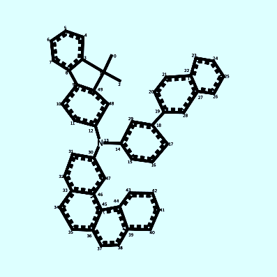 CC1(C)c2ccccc2-c2ccc(N(c3cccc(-c4ccc5ccccc5c4)c3)c3ccc4ccc5ccc6ccccc6c5c4c3)cc21